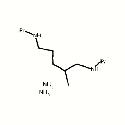 CC(CCCNC(C)C)CNC(C)C.N.N